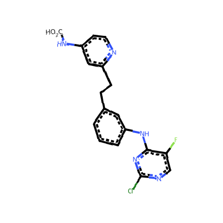 O=C(O)Nc1ccnc(CCc2cccc(Nc3nc(Cl)ncc3F)c2)c1